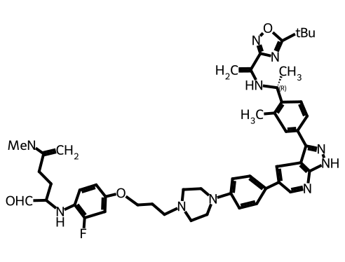 C=C(CCC(C=O)Nc1ccc(OCCCN2CCN(c3ccc(-c4cnc5[nH]nc(-c6ccc([C@@H](C)NC(=C)c7noc(C(C)(C)C)n7)c(C)c6)c5c4)cc3)CC2)cc1F)NC